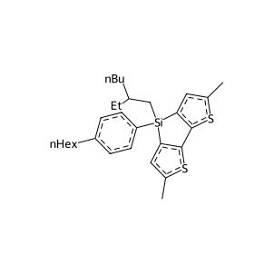 CCCCCCc1ccc([Si]2(CC(CC)CCCC)c3cc(C)sc3-c3sc(C)cc32)cc1